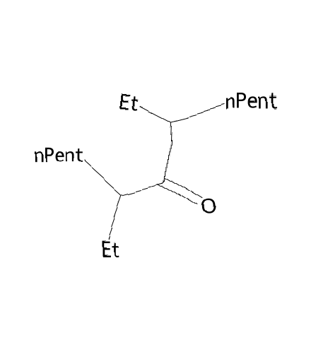 CCCCCC(CC)C(=O)C(CC)CCCCC